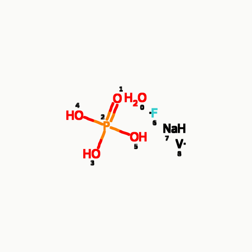 O.O=P(O)(O)O.[F].[NaH].[V]